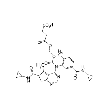 CC1=C2C(N(C(=O)OCOC(=O)CCC(=O)O)c3cc(C(=O)NC4CC4)ccc3C)=NC=NN2CC1C(=O)NC1CC1